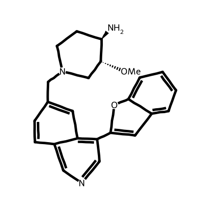 CO[C@@H]1CN(Cc2ccc3cncc(-c4cc5ccccc5o4)c3c2)CC[C@H]1N